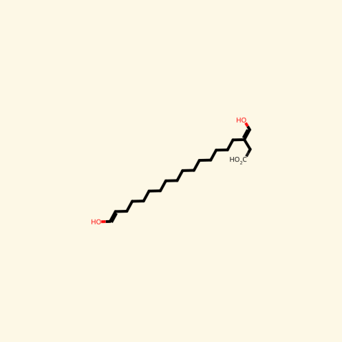 O=C(O)C/C(=C/O)CCCCCCCCCCCCCC/C=C/O